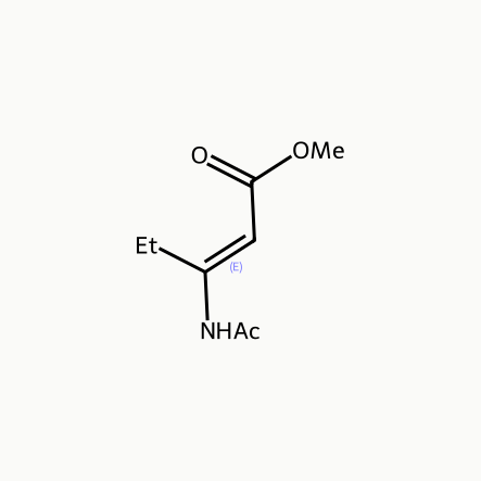 CC/C(=C\C(=O)OC)NC(C)=O